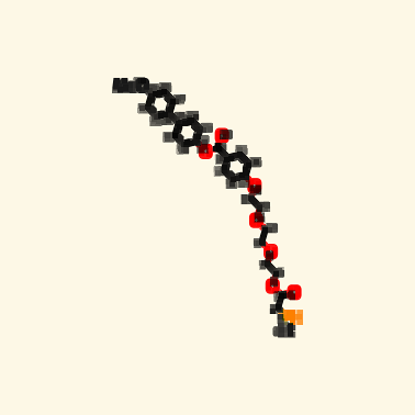 CCPCC(=O)OCCOCCOCCOc1ccc(C(=O)Oc2ccc(-c3ccc(OC)cc3)cc2)cc1